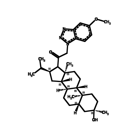 COc1ccc2c(c1)nnn2CC(=O)C1[C@H](C(C)C)C[C@H]2[C@@H]3CC[C@H]4C[C@](C)(O)CC[C@]4(C)[C@H]3CC[C@]12C